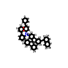 c1ccc(-c2ccc(N(c3ccc4c(c3)C3(c5ccccc5-c5ccccc53)c3ccc(-c5cccc6ccccc56)cc3-4)c3ccccc3-c3ccccc3)cc2)cc1